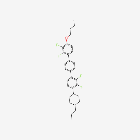 CCCCOc1ccc(-c2ccc(-c3ccc(C4CCC(CCC)CC4)c(F)c3F)cc2)c(F)c1F